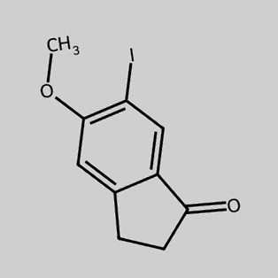 COc1cc2c(cc1I)C(=O)CC2